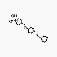 O=C(O)N1CCC(COc2ccc(OCc3ccccc3)cc2)CC1